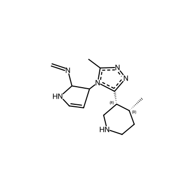 C=NC1NC=CC1n1c(C)nnc1[C@H]1CNCC[C@H]1C